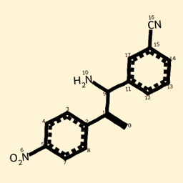 C=C(c1ccc([N+](=O)[O-])cc1)C(N)c1cccc(C#N)c1